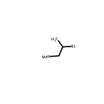 CCC(C)[CH]NC